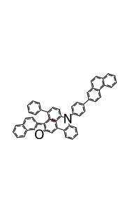 c1ccc(-c2ccc(N(c3ccc(-c4ccc5c(ccc6ccccc65)c4)cc3)c3ccccc3-c3ccc4c(c3)oc3c5ccccc5ccc43)cc2)cc1